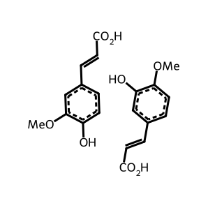 COc1cc(C=CC(=O)O)ccc1O.COc1ccc(C=CC(=O)O)cc1O